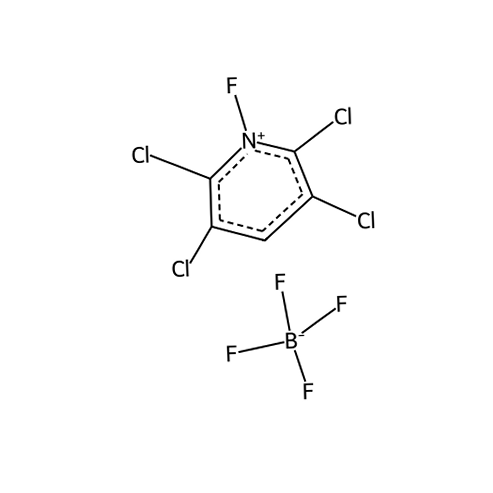 F[B-](F)(F)F.F[n+]1c(Cl)c(Cl)cc(Cl)c1Cl